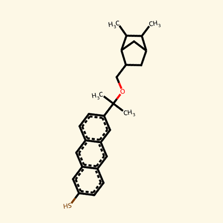 CC1C2CC(COC(C)(C)c3ccc4cc5cc(S)ccc5cc4c3)C(C2)C1C